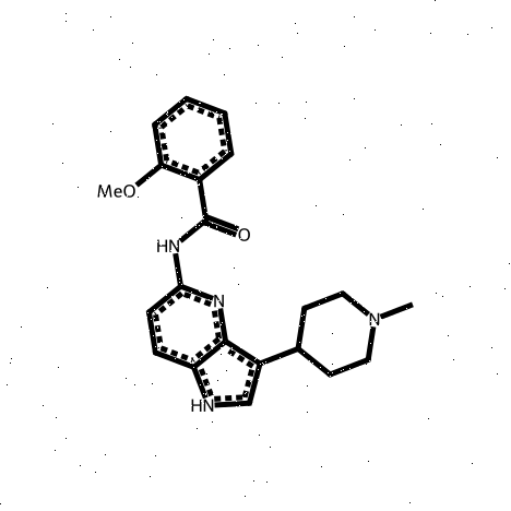 COc1ccccc1C(=O)Nc1ccc2[nH]cc(C3CCN(C)CC3)c2n1